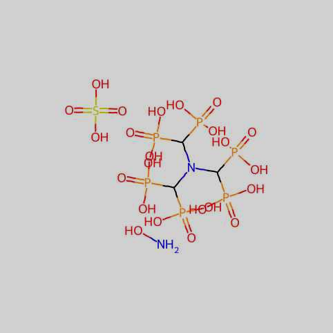 NO.O=P(O)(O)C(N(C(P(=O)(O)O)P(=O)(O)O)C(P(=O)(O)O)P(=O)(O)O)P(=O)(O)O.O=S(=O)(O)O